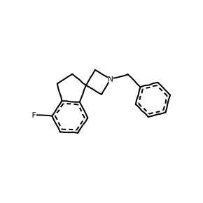 Fc1cccc2c1CCC21CN(Cc2ccccc2)C1